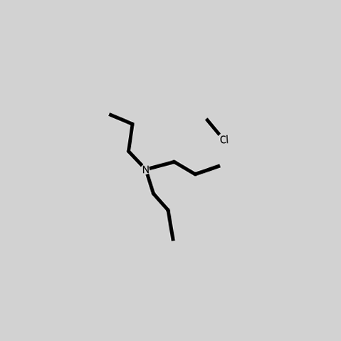 CCCN(CCC)CCC.CCl